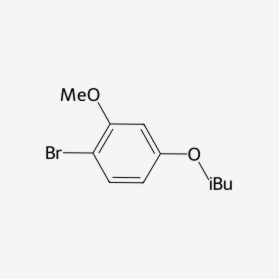 CCC(C)Oc1ccc(Br)c(OC)c1